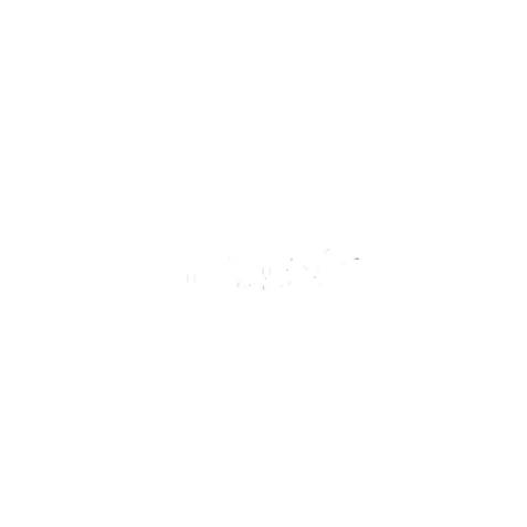 CC(=O)[C@]12CC[C@H]3[C@@H](CC[C@H]4C[C@H](C)[C@@H](C)C[C@@]43C)[C@@H]1CC[C@@H]2CO